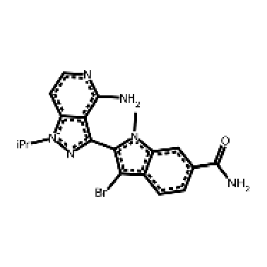 CC(C)n1nc(-c2c(Br)c3ccc(C(N)=O)cc3n2C)c2c(N)nccc21